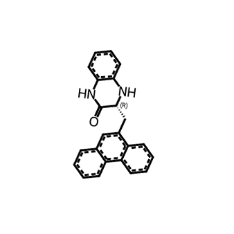 O=C1Nc2ccccc2N[C@@H]1Cc1cc2ccccc2c2ccccc12